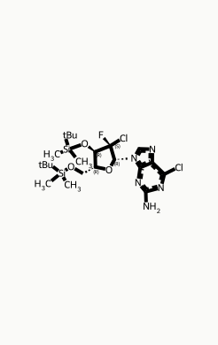 CC(C)(C)[Si](C)(C)OC[C@H]1O[C@@H](n2cnc3c(Cl)nc(N)nc32)[C@@](F)(Cl)[C@@H]1O[Si](C)(C)C(C)(C)C